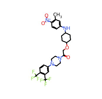 Cc1cc(NC2CCC(OCC(=O)N3CCN(c4ccc(C(F)(F)F)c(C(F)(F)F)c4)CC3)CC2)ccc1[N+](=O)[O-]